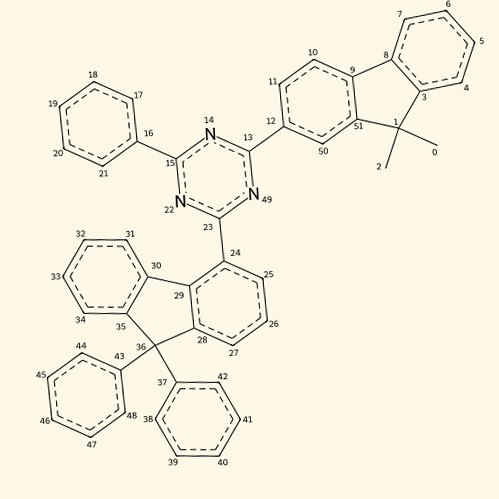 CC1(C)c2ccccc2-c2ccc(-c3nc(-c4ccccc4)nc(-c4cccc5c4-c4ccccc4C5(c4ccccc4)c4ccccc4)n3)cc21